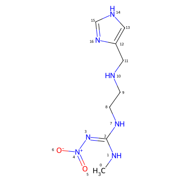 CNC(=N[N+](=O)[O-])NCCNCc1c[nH]cn1